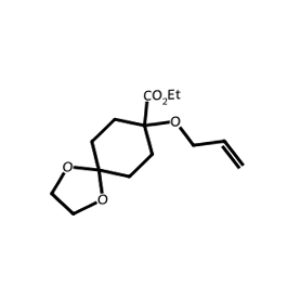 C=CCOC1(C(=O)OCC)CCC2(CC1)OCCO2